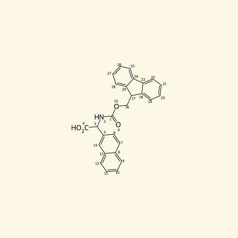 O=C(NC(C(=O)O)c1ccc2ccccc2c1)OCC1c2ccccc2-c2ccccc21